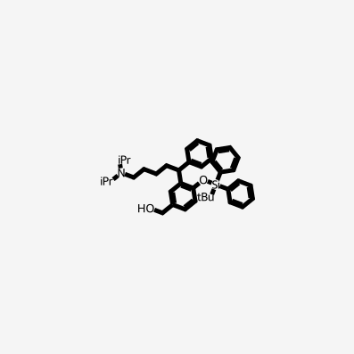 CC(C)N(CCCCC(c1ccccc1)c1cc(CO)ccc1O[Si](c1ccccc1)(c1ccccc1)C(C)(C)C)C(C)C